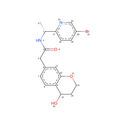 C[C@@H](NC(=O)Cc1ccc2c(c1)OCCC2O)c1ccc(Br)cn1